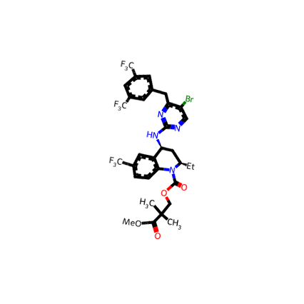 CC[C@@H]1C[C@H](Nc2ncc(Br)c(Cc3cc(C(F)(F)F)cc(C(F)(F)F)c3)n2)c2cc(C(F)(F)F)ccc2N1C(=O)OCC(C)(C)C(=O)OC